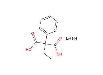 CCC(C(=O)O)(C(=O)O)c1ccccc1.[KH].[LiH]